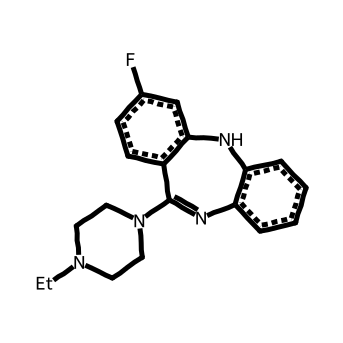 CCN1CCN(C2=Nc3ccccc3Nc3cc(F)ccc32)CC1